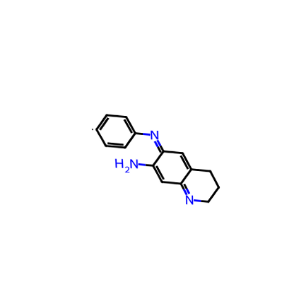 NC1=CC2=NCCCC2=C/C1=N/c1cc[c]cc1